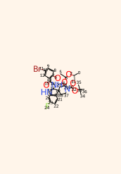 CCOC(=O)COc1ccc(Br)cc1C(=O)NC(=N)C1(c2ccc(F)cc2)CCN(C(=O)OC(C)(C)C)CC1